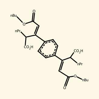 CCCCOC(=O)C=C(c1ccc(C(=CC(=O)OCCCC)C(CCC)C(=O)O)cc1)C(CCC)C(=O)O